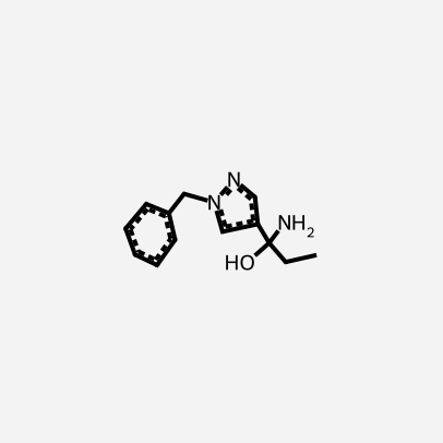 CCC(N)(O)c1cnn(Cc2ccccc2)c1